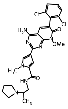 COn1c(=O)c(-c2c(Cl)cccc2Cl)cc2c(N)nc(-c3cc(C(=O)NCC(C)N4CCCC4)n(C)c3)nc21